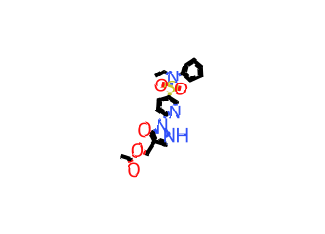 CCN(c1ccccc1)S(=O)(=O)c1ccc(-n2[nH]cc(COC(C)=O)c2=O)nc1